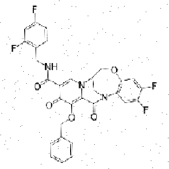 O=C(NCc1ccc(F)cc1F)c1cn2c(c(OCc3ccccc3)c1=O)C(=O)N1CC2COc2cc(F)c(F)cc21